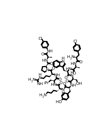 CC(C)C[C@H](NC(=O)[C@@H](CCCCN)NC(=O)[C@H](Cc1ccc(O)cc1)NC(=O)[C@H](CO)NC(=O)[C@@H](Cc1c[nH]c2ccccc12)NC(=O)[C@H](C)NC(=O)[C@@H](N)Cc1ccc(Cl)cc1)C(=O)N[C@@H](CCCNC(=N)N)C(=O)N1CCC[C@H]1C(=O)N[C@H](C)C(=O)Nc1ccc(Cl)cc1